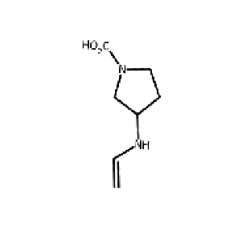 C=CNC1CCN(C(=O)O)C1